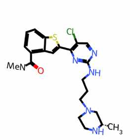 CNC(=O)c1cccc2sc(-c3nc(NCCCN4CCN[C@@H](C)C4)ncc3Cl)cc12